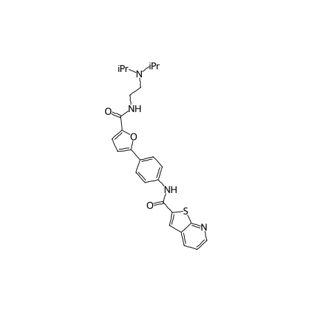 CC(C)N(CCNC(=O)c1ccc(-c2ccc(NC(=O)c3cc4cccnc4s3)cc2)o1)C(C)C